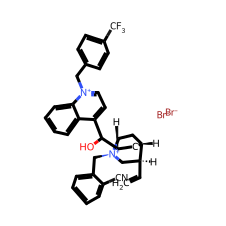 C=C[C@H]1C[N@+]2(Cc3ccccc3C#N)CC[C@H]1C[C@H]2C(O)c1cc[n+](Cc2ccc(C(F)(F)F)cc2)c2ccccc12.[Br-].[Br-]